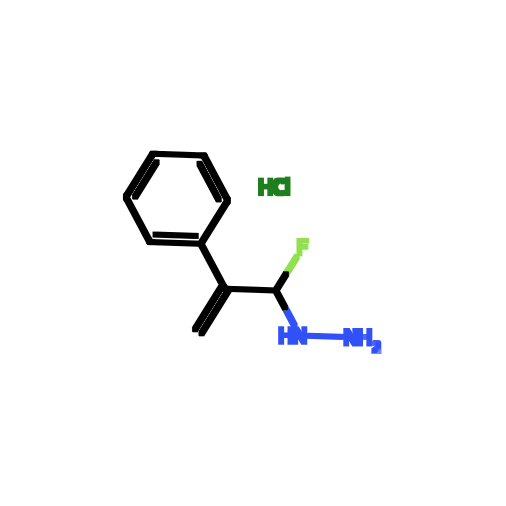 C=C(c1ccccc1)C(F)NN.Cl